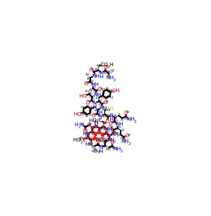 CC[C@H](C)[C@H](NC(=O)[C@@H](NC(=O)[C@H](C)NC(=O)[C@H](C)NC(=O)[C@H](CC(=O)O)NC(=O)[C@H](CCC(N)=O)NC(=O)[C@H](CCC(N)=O)NC(=O)[C@H](CS)NC(=O)[C@H](Cc1ccc(O)cc1)NC(=O)[C@H](Cc1ccc(O)cc1)NC(=O)[C@@H](NC(=O)[C@H](C)NC(=O)[C@H](C)NC(=O)[C@H](CC(=O)O)NC(=O)[C@H](C)N)[C@@H](C)O)C(C)C)C(=O)N[C@@H](CC(N)=O)C(=O)N[C@H](C(=O)N[C@@H](CC(=O)O)C(=O)N[C@@H](CC(N)=O)C(=O)N[C@H](C(=O)O)[C@@H](C)O)C(C)C